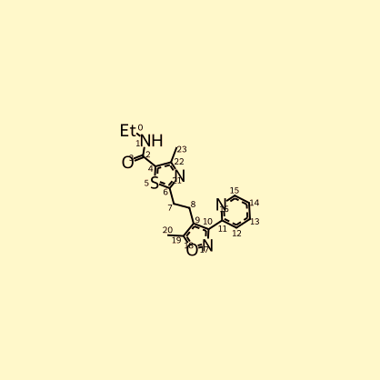 CCNC(=O)c1sc(CCc2c(-c3ccccn3)noc2C)nc1C